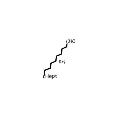 CCCCCCCCCCCCCCCC=O.[KH]